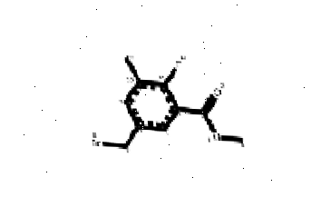 COC(=O)c1cc(CBr)cc(C)c1F